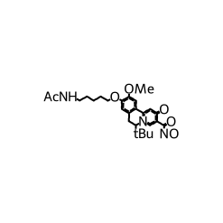 COc1cc2c(cc1OCCCCCNC(C)=O)CC(C(C)(C)C)n1cc(C(=O)N=O)c(=O)cc1-2